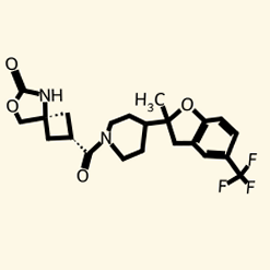 CC1(C2CCN(C(=O)[C@H]3C[C@@]4(COC(=O)N4)C3)CC2)Cc2cc(C(F)(F)F)ccc2O1